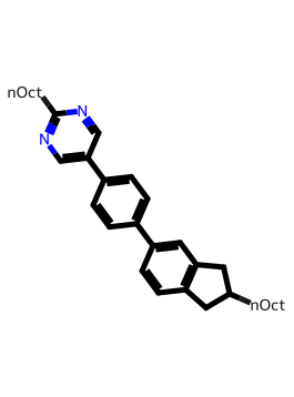 CCCCCCCCc1ncc(-c2ccc(-c3ccc4c(c3)CC(CCCCCCCC)C4)cc2)cn1